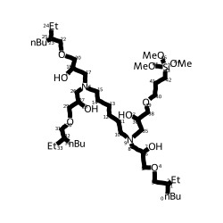 CCCCC(CC)COCC(O)CN(CCCCCCN(CC(O)COCC(CC)CCCC)CC(O)COCC(CC)CCCC)CC(O)COCCC[Si](OC)(OC)OC